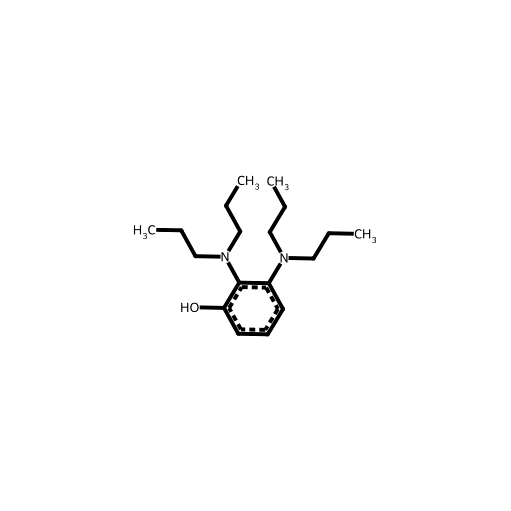 CCCN(CCC)c1cccc(O)c1N(CCC)CCC